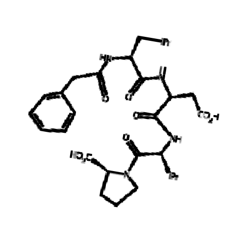 CC(C)C[C@H](NC(=O)Cc1ccccc1)C(=O)N[C@@H](CC(=O)O)C(=O)N[C@H](C(=O)N1CCC[C@H]1C(=O)O)C(C)C